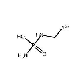 CCCCNP(N)(=O)O